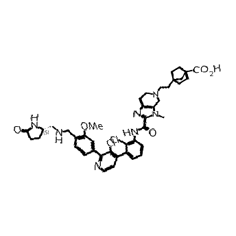 COc1cc(-c2nccc(-c3cccc(NC(=O)c4nc5c(n4C)CN(CCC46CCC(C(=O)O)(CC4)C6)CC5)c3Cl)c2Cl)ccc1CNC[C@@H]1CCC(=O)N1